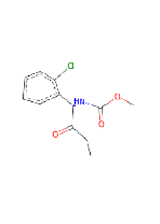 CCC(=O)[C@H](NC(=O)OC)c1ccccc1Cl